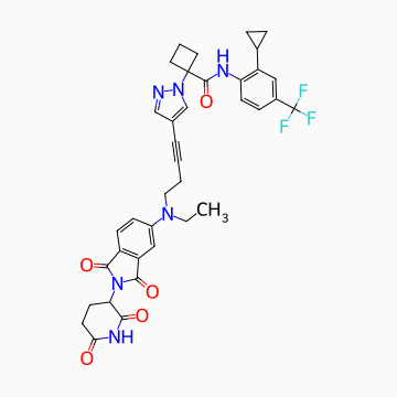 CCN(CCC#Cc1cnn(C2(C(=O)Nc3ccc(C(F)(F)F)cc3C3CC3)CCC2)c1)c1ccc2c(c1)C(=O)N(C1CCC(=O)NC1=O)C2=O